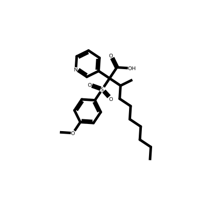 CCCCCCCC(C)C(C(=O)O)(c1cccnc1)S(=O)(=O)c1ccc(OC)cc1